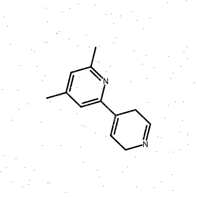 Cc1cc(C)nc(C2=CCN=CC2)c1